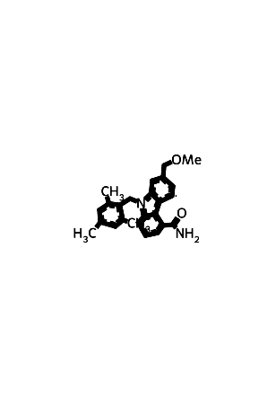 COCc1c[c]c2c3c(C(N)=O)cccc3n(Cc3c(C)cc(C)cc3C)c2c1